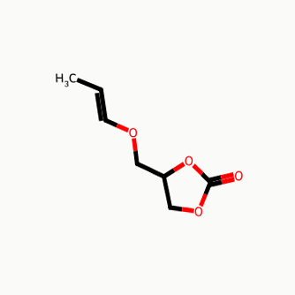 CC=COCC1COC(=O)O1